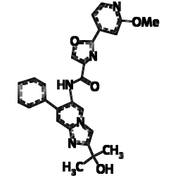 COc1cc(-c2nc(C(=O)Nc3cn4cc(C(C)(C)O)nc4cc3-c3ccccc3)co2)ccn1